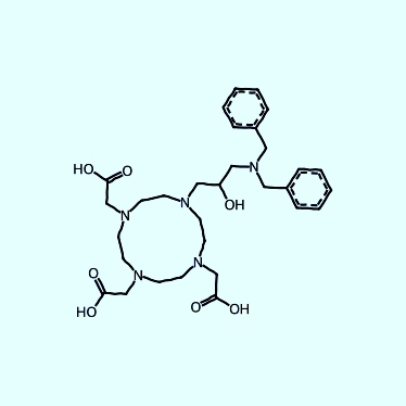 O=C(O)CN1CCN(CC(=O)O)CCN(CC(O)CN(Cc2ccccc2)Cc2ccccc2)CCN(CC(=O)O)CC1